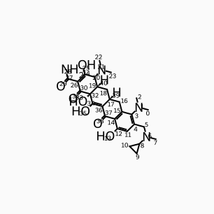 CN(C)c1c(CN(C)C2CC2)cc(O)c2c1C[C@H]1C[C@H]3[C@H](N(C)C)C(O)=C(C(N)=O)C(=O)[C@@]3(O)C(O)=C1C2=O